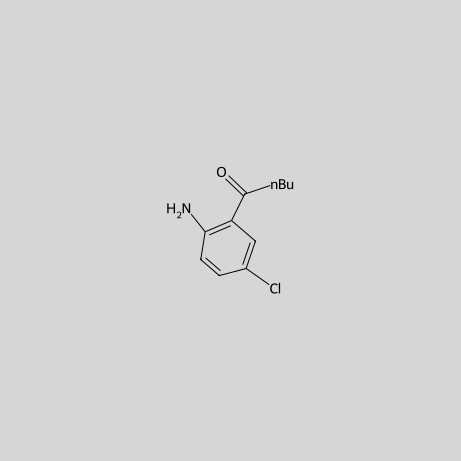 CCCCC(=O)c1cc(Cl)ccc1N